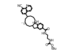 C[C@H]1CCC2Cc3cc(C(=O)NCCNC(=O)OC(C)(C)C)ccc3[C@H]2CCCC(c2ccc(C#N)c3ncccc23)C1